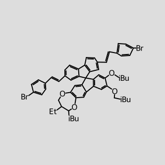 CCC(C)COc1cc2c(cc1OC(C)CC)C1(c3cc(/C=C/c4ccc(Br)cc4)ccc3-c3ccc(/C=C/c4ccc(Br)cc4)cc31)c1cc3c(cc1-2)OC(C(C)CC)C(CC)CO3